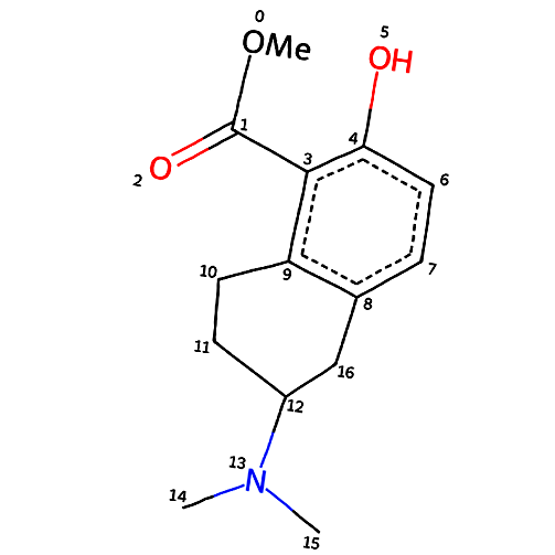 COC(=O)c1c(O)ccc2c1CCC(N(C)C)C2